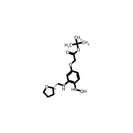 CC(C)(C)OC(=O)COc1ccc(NO)c(NC[C@@H]2CCCO2)c1